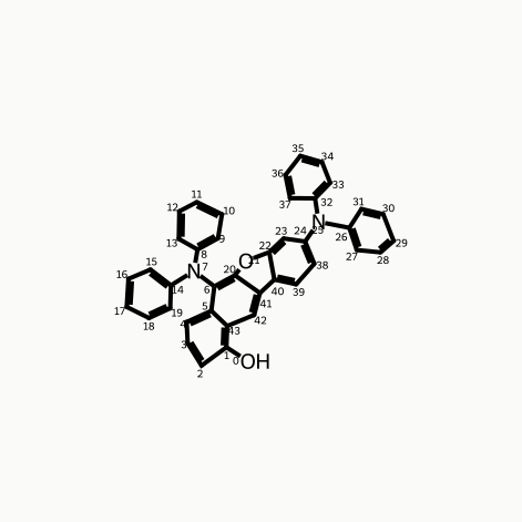 Oc1cccc2c(N(c3ccccc3)c3ccccc3)c3oc4cc(N(c5ccccc5)c5ccccc5)ccc4c3cc12